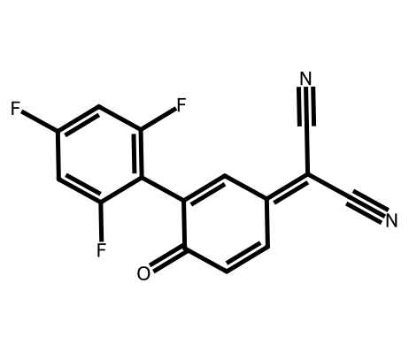 N#CC(C#N)=C1C=CC(=O)C(c2c(F)cc(F)cc2F)=C1